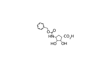 O=C(NC1C[C@H](C(=O)O)C(O)C1O)OCc1ccccc1